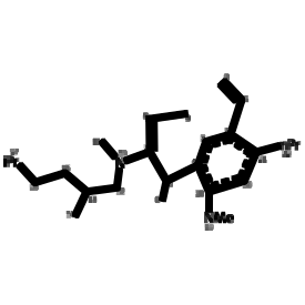 C=Cc1cc(C(C)/C(=C\C)N(C)CC(C)CCC(C)C)c(NC)cc1CCC